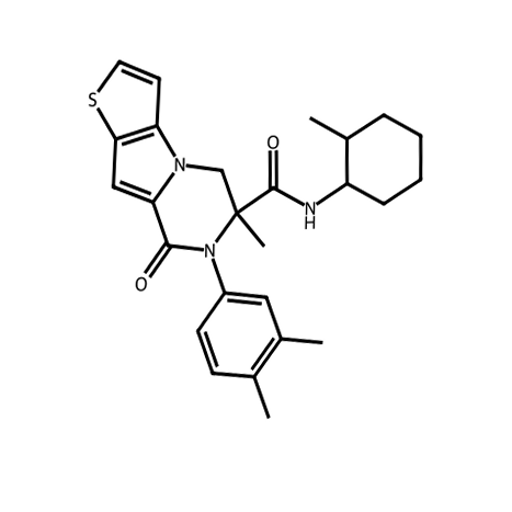 Cc1ccc(N2C(=O)c3cc4sccc4n3CC2(C)C(=O)NC2CCCCC2C)cc1C